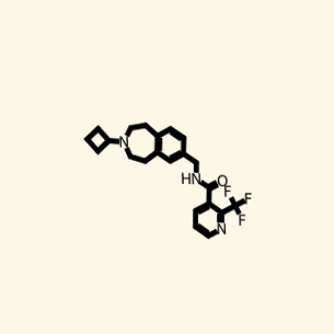 O=C(NCc1ccc2c(c1)CCN(C1CCC1)CC2)c1cccnc1C(F)(F)F